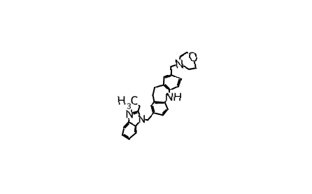 CCc1nc2ccccc2n1Cc1ccc2c(c1)CCc1cc(CN3CCOCC3)ccc1N2